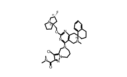 CN(C)C(=O)c1nn2c(c1Cl)CN(c1nc(OC[C@@]34CCCN3C[C@H](F)C4)nc3c1CN(C)[C@]1(CCCc4ccccc41)C3)CCC2